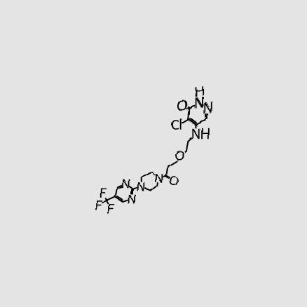 O=C(CCOCCNc1cn[nH]c(=O)c1Cl)N1CCN(c2ncc(C(F)(F)F)cn2)CC1